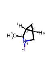 C[C@H]1[C@@H]2C[C@@H]2CN1I